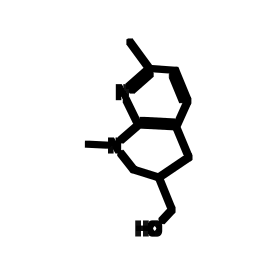 Cc1ccc2c(n1)N(C)CC(CO)C2